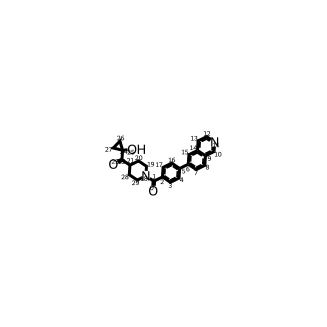 O=C(c1ccc(-c2ccc3cnccc3c2)cc1)N1CCC(C(=O)C2(O)CC2)CC1